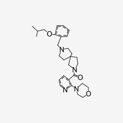 CC(C)COc1ccccc1CN1CCC2(CC1)CCN(C(=O)c1cccnc1N1CCOCC1)C2